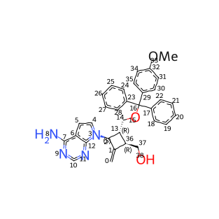 C=C1[C@@H](n2ccc3c(N)ncnc32)[C@H](COC(c2ccccc2)(c2ccccc2)c2ccc(OC)cc2)[C@H]1CO